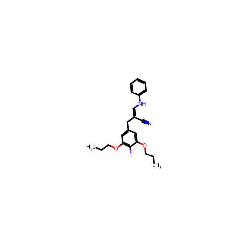 CCCOc1cc(CC(C#N)=CNc2ccccc2)cc(OCCC)c1I